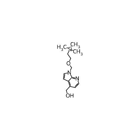 C[Si](C)(C)CCOCn1ccc2c(CO)ccnc21